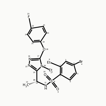 CCc1cc(Br)ccc1S(=O)(=O)N[C@H](C)c1nnc(Oc2ccc(F)cc2)n1CC